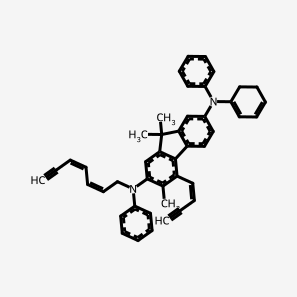 C#C/C=C\C=C/CN(c1ccccc1)c1cc2c(c(/C=C\C#C)c1C)-c1ccc(N(C3=CC=CCC3)c3ccccc3)cc1C2(C)C